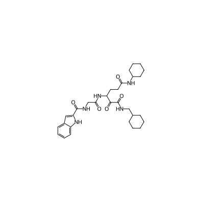 O=C(CCC(NC(=O)CNC(=O)c1cc2ccccc2[nH]1)C(=O)C(=O)NCC1CCCCC1)NC1CCCCC1